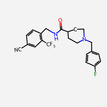 N#Cc1ccc(CNC(=O)C2CCN(Cc3ccc(F)cc3)CC2)c(C(F)(F)F)c1